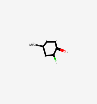 COC1CCC(=O)C(Cl)C1